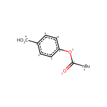 CCCCC(=O)Oc1ccc(C(=O)O)cc1